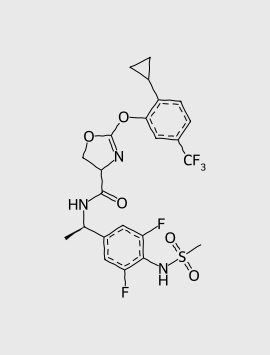 C[C@@H](NC(=O)C1COC(Oc2cc(C(F)(F)F)ccc2C2CC2)=N1)c1cc(F)c(NS(C)(=O)=O)c(F)c1